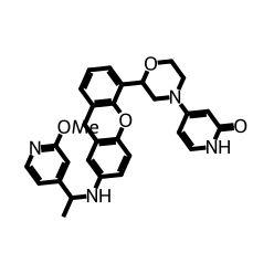 COc1cc(C(C)Nc2ccc3c(c2)Cc2cccc(C4CN(c5cc[nH]c(=O)c5)CCO4)c2O3)ccn1